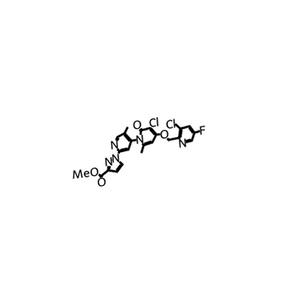 COC(=O)c1ccn(-c2cc(-n3c(C)cc(OCc4ncc(F)cc4Cl)c(Cl)c3=O)c(C)cn2)n1